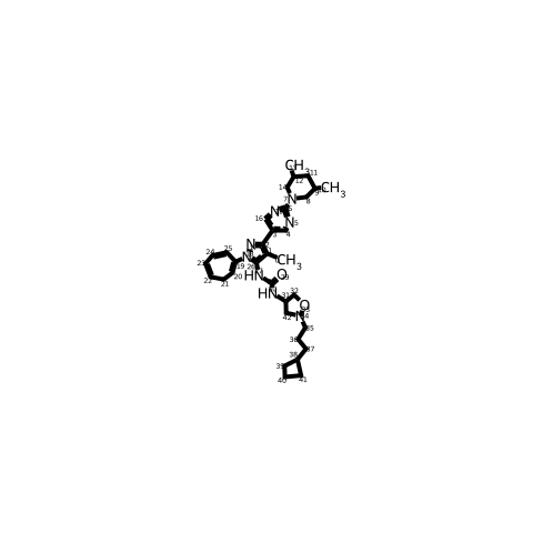 Cc1c(-c2cnc(N3CC(C)CC(C)C3)nc2)nn(C2=CCC=CC=C2)c1NC(=O)NC1CON(CCCC2CCC2)C1